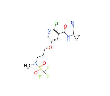 CN(CCCOc1cnc(Cl)c(C(=O)NC2(C#N)CC2)c1)S(=O)(=O)C(F)(F)F